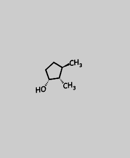 C[C@H]1[C@H](C)CC[C@H]1O